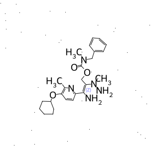 Cc1nc(/C(N)=C(\COC(=O)N(C)Cc2ccccc2)N(C)N)ccc1OC1CCCCC1